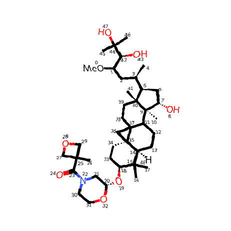 COC(C[C@@H](C)[C@H]1C[C@H](O)[C@@]2(C)C3CC[C@H]4C(C)(C)[C@@H](O[C@H]5CN(C(=O)C6(C)COC6)CCO5)CC[C@@]45CC35CC[C@]12C)[C@H](O)C(C)(C)O